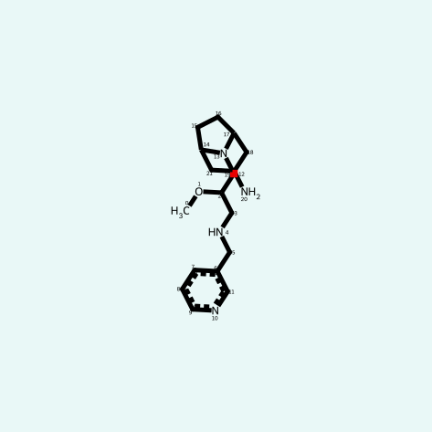 COC(CNCc1cccnc1)CN1C2CCC1CC(N)C2